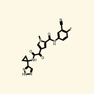 Cn1cc(C(=O)C(=O)NC2(c3cn[nH]n3)CC2)cc1C(=O)Nc1ccc(F)c(C#N)c1